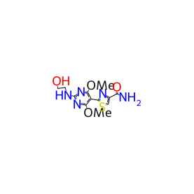 COc1nc(NCCO)nc(OC)c1-c1nc(C(N)=O)cs1